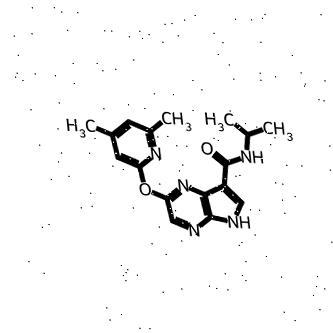 Cc1cc(C)nc(Oc2cnc3[nH]cc(C(=O)NC(C)C)c3n2)c1